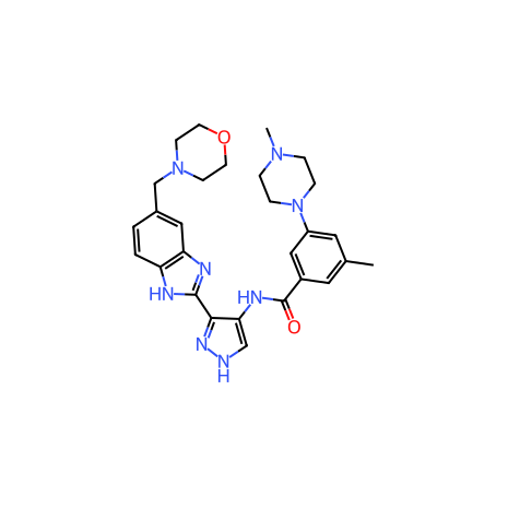 Cc1cc(C(=O)Nc2c[nH]nc2-c2nc3cc(CN4CCOCC4)ccc3[nH]2)cc(N2CCN(C)CC2)c1